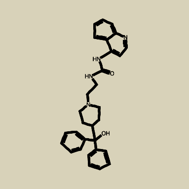 O=C(NCCN1CCC(C(O)(c2ccccc2)c2ccccc2)CC1)Nc1ccnc2ccccc12